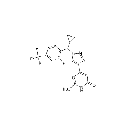 Cc1nc(-c2cn(C(c3ccc(C(F)(F)F)cc3F)C3CC3)nn2)cc(=O)[nH]1